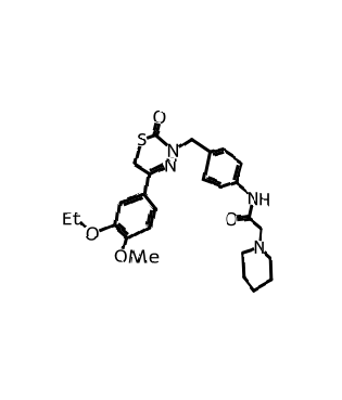 CCOc1cc(C2=NN(Cc3ccc(NC(=O)CN4CCCCC4)cc3)C(=O)SC2)ccc1OC